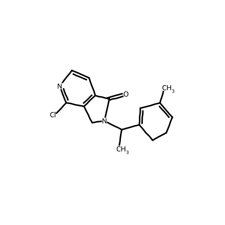 CC1=CCCC(C(C)N2Cc3c(ccnc3Cl)C2=O)=C1